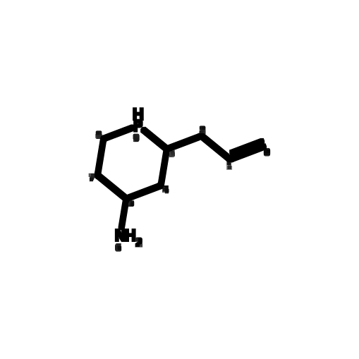 C=CCC1CC(N)CCP1